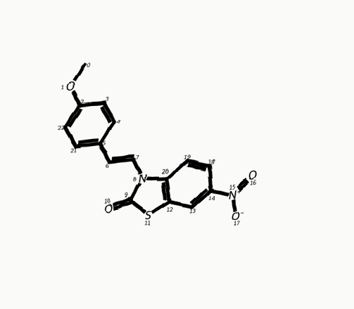 COc1ccc(/C=C/n2c(=O)sc3cc([N+](=O)[O-])ccc32)cc1